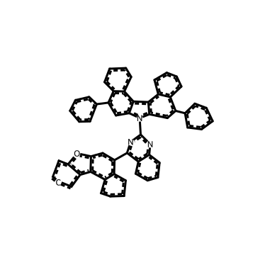 c1ccc(-c2cc3c(c4ccccc24)c2c4ccccc4c(-c4ccccc4)cc2n3-c2nc(-c3cc4oc5ccccc5c4c4ccccc34)c3ccccc3n2)cc1